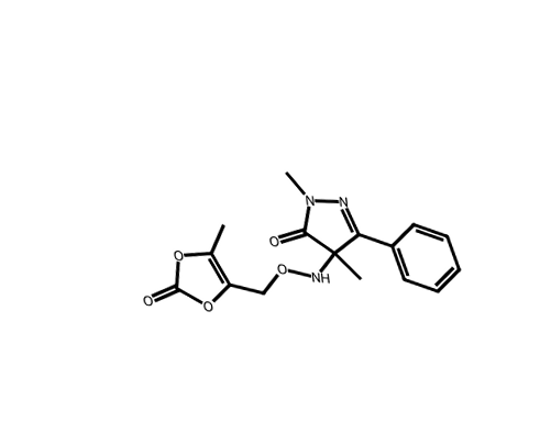 Cc1oc(=O)oc1CONC1(C)C(=O)N(C)N=C1c1ccccc1